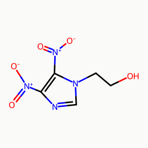 O=[N+]([O-])c1ncn(CCO)c1[N+](=O)[O-]